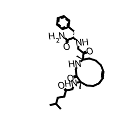 CC(C)CCC(=O)CN[C@@]1(C)CCC/C=C\CCC[C@@](C)(C(=O)CN[C@@H](Cc2ccccc2)C(N)=O)NCC1=O